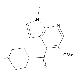 COc1cnc2c(ccn2C)c1C(=O)C1CCNCC1